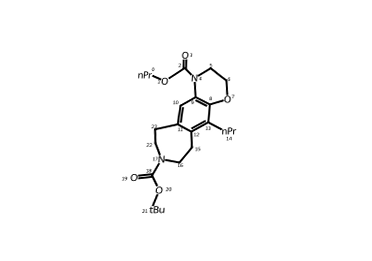 CCCOC(=O)N1CCOc2c1cc1c(c2CCC)CCN(C(=O)OC(C)(C)C)CC1